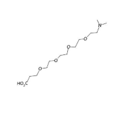 CN(C)CCOCCOCCOCCOCCC(=O)O